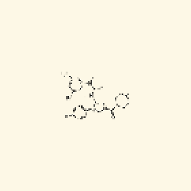 CN(C(=O)N(C)[C@@H]1CN(C(=O)C2CCOCC2)C[C@H]1c1ccc(F)cc1)c1cc(Br)cc(C(F)(F)F)c1